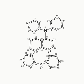 c1ccc(N(c2ccccc2)c2ccc3c4c(cccc24)-c2ccccc2Sc2ccncc2-3)cc1